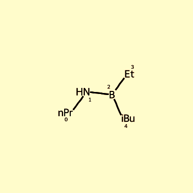 CCCNB(CC)C(C)CC